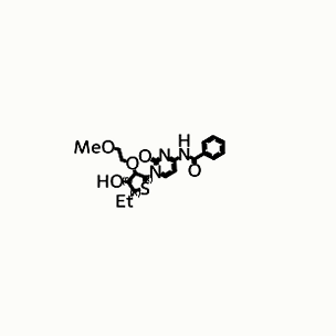 CC[C@H]1S[C@@H](n2ccc(NC(=O)c3ccccc3)nc2=O)C(OCCOC)[C@H]1O